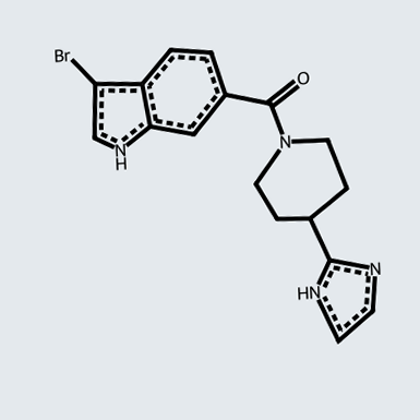 O=C(c1ccc2c(Br)c[nH]c2c1)N1CCC(c2ncc[nH]2)CC1